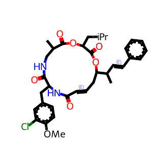 COc1ccc(CC2NC(=O)/C=C/CC(C(C)/C=C/c3ccccc3)OC(=O)C(CC(C)C)OC(=O)C(C)CNC2=O)cc1Cl